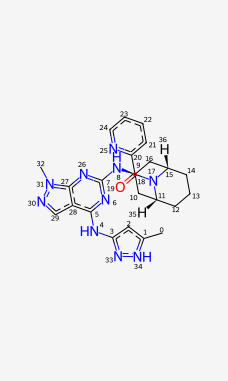 Cc1cc(Nc2nc(N[C@@H]3C[C@H]4CCC[C@@H](C3)N4C(=O)c3ccccn3)nc3c2cnn3C)n[nH]1